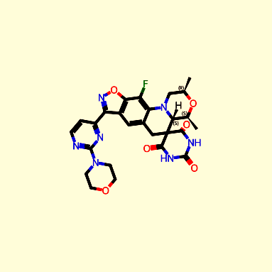 C[C@@H]1CN2c3c(cc4c(-c5ccnc(N6CCOCC6)n5)noc4c3F)CC3(C(=O)NC(=O)NC3=O)[C@H]2[C@H](C)O1